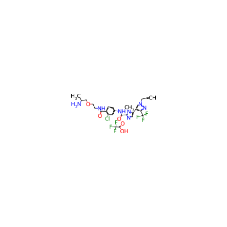 C#CCn1cc(-c2cnc(C(=O)Nc3ccc(C(=O)NCCOC[C@H](C)N)c(Cl)c3)n2C)c(C(F)(F)F)n1.O=C(O)C(F)(F)F